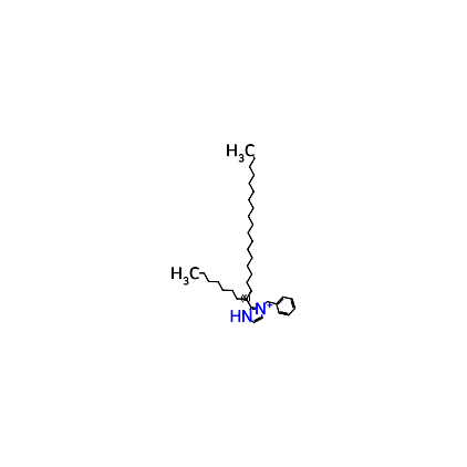 CCCCCCCCCCCCCCCCCC[C@H](CCCCCCC)c1[nH]cc[n+]1Cc1ccccc1